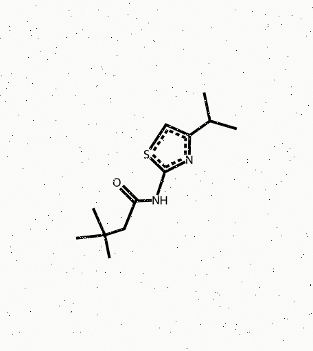 CC(C)c1csc(NC(=O)CC(C)(C)C)n1